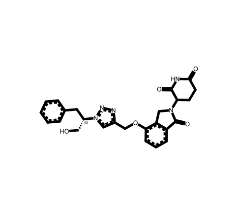 O=C1CCC(N2Cc3c(OCc4cn([C@H](CO)Cc5ccccc5)nn4)cccc3C2=O)C(=O)N1